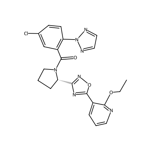 CCOc1ncccc1-c1nc([C@@H]2CCCN2C(=O)c2cc(Cl)ccc2-n2nccn2)no1